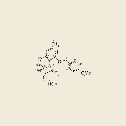 CC=CC1=C(C(=O)OCc2ccc(OC)cc2)N2C(=O)[C@@H](N)[C@@H]2SC1.Cl